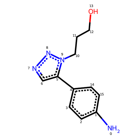 Nc1ccc(-c2cnnn2CCCO)cc1